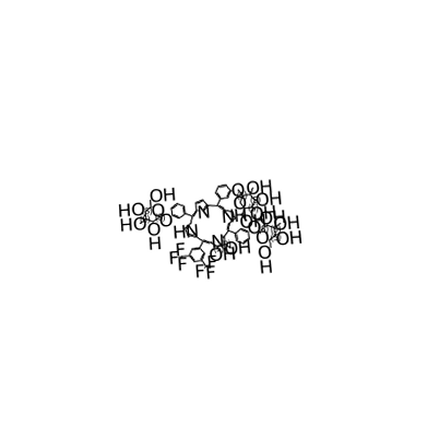 OCC1O[C@@H](Oc2cccc(-c3c4nc(c(-c5cccc(O[C@@H]6OC(CO)[C@@H](O)[C@H](O)C6O)c5)c5ccc([nH]5)c(-c5cc(C(F)(F)F)cc(C(F)(F)F)c5)c5nc(c(-c6cccc(O[C@@H]7OC(CO)[C@@H](O)[C@H](O)C7O)c6)c6ccc3[nH]6)[C@@H](O)[C@H]5O)C=C4)c2)C(O)[C@@H](O)[C@@H]1O